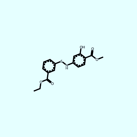 CCOC(=O)c1cccc(SNc2ccc(C(=O)OC)c(O)c2)c1